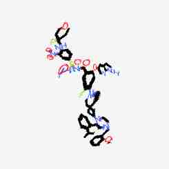 COc1ccccc1CN1CCN(C2CC3(CCN(c4cc(Oc5cnc6[nH]ccc6c5)c(C(=O)NS(=O)(=O)c5ccc(NCC6(F)CCOCC6)c([N+](=O)[O-])c5)cc4F)CC3)C2)C(c2ccccc2C(C)C)C1